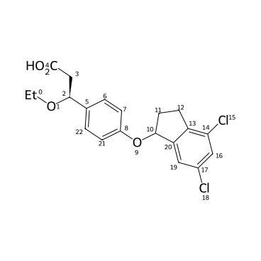 CCO[C@@H](CC(=O)O)c1ccc(OC2CCc3c(Cl)cc(Cl)cc32)cc1